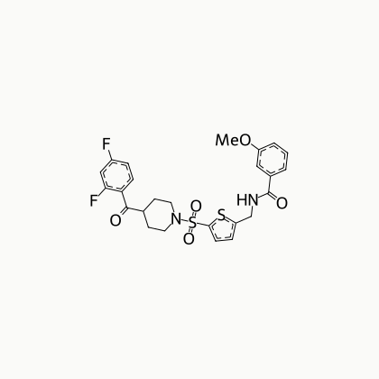 COc1cccc(C(=O)NCc2ccc(S(=O)(=O)N3CCC(C(=O)c4ccc(F)cc4F)CC3)s2)c1